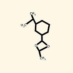 CC1OC(C2CCCC(C(C)C)C2)O1